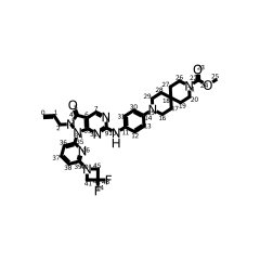 C=CCn1c(=O)c2cnc(Nc3ccc(N4CCC5(CCN(C(=O)OC)CC5)CC4)cc3)nc2n1-c1cccc(N2CC(F)(F)C2)n1